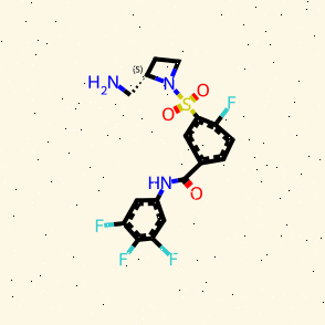 NC[C@@H]1CCN1S(=O)(=O)c1cc(C(=O)Nc2cc(F)c(F)c(F)c2)ccc1F